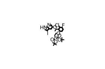 CC(Oc1cnc2[nH]cc(I)c2c1)c1c(OCCN(C(=O)OC(C)(C)C)C(=O)OC(C)(C)C)ccc(F)c1Cl